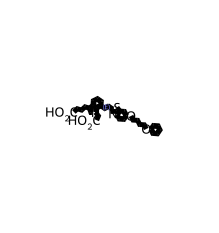 O=C(O)CCCc1cn(CC(=O)O)c2c(/C=C/c3nc4ccc(OCCCCOc5ccccc5)cc4s3)cccc12